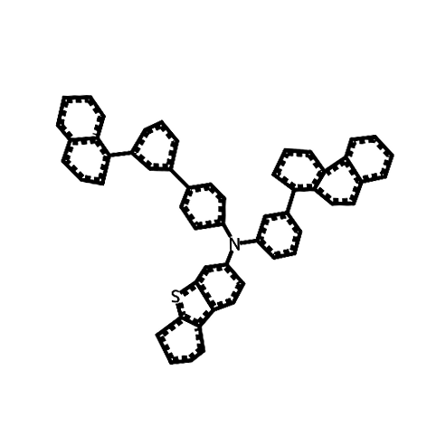 c1cc(-c2ccc(N(c3cccc(-c4cccc5c4ccc4ccccc45)c3)c3ccc4c(c3)sc3ccccc34)cc2)cc(-c2cccc3ccccc23)c1